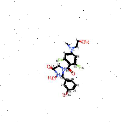 CN(CCO)c1cc(F)c(C(=O)N2CC(=O)N(O)C2c2cccc(Br)c2)c(F)c1